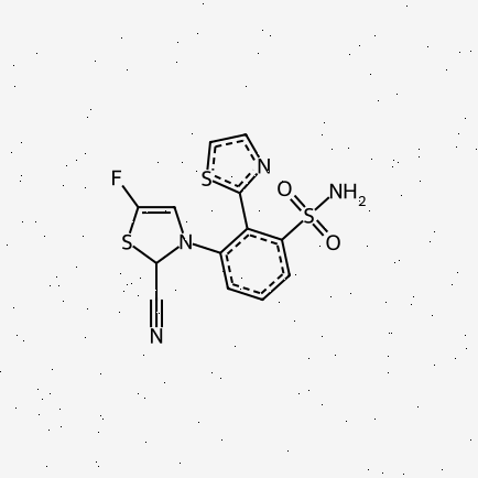 N#CC1SC(F)=CN1c1cccc(S(N)(=O)=O)c1-c1nccs1